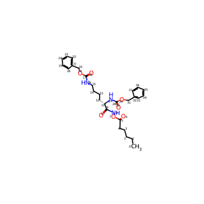 CCCCCC(=O)ONC(=O)[C@H](CCCCNC(=O)OCc1ccccc1)NC(=O)OCc1ccccc1